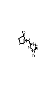 O=C1CCCN1Cc1nc[nH]n1